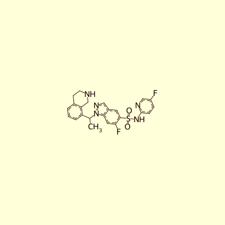 CC(c1cccc2c1CNCC2)n1ncc2cc(S(=O)(=O)Nc3ccc(F)cn3)c(F)cc21